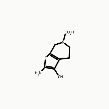 N#Cc1c(N)sc2c1CCN(C(=O)O)C2